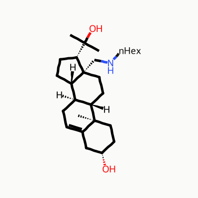 CCCCCCNC[C@]12CC[C@H]3[C@@H](CC=C4C[C@@H](O)CC[C@@]43C)[C@@H]1CC[C@@H]2C(C)(C)O